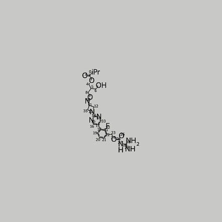 CC(C)C(=O)OCC(CO)CON=C1CN(c2ncc(-c3cccc(COC(=O)NC(=N)N)c3F)cn2)C1